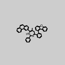 CC1=C(c2ccc3ccc4ccccc4c3c2)NC(c2ccccc2)N=C(c2ccccc2-c2cccc3oc4ccccc4c23)C1